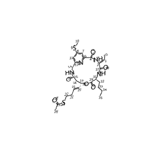 C/C=C1\NC(=O)c2cc(SC)cc(n2)CNC(=O)C[C@@H](/C=C/CCSC(C)=O)OC(=O)[C@H](CCCC)NC1=O